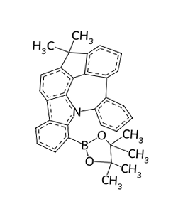 CC1(C)c2cccc3c2-c2c1ccc1c4cccc(B5OC(C)(C)C(C)(C)O5)c4n(c21)-c1ccccc1-3